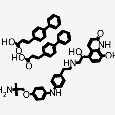 CC(C)(N)COc1ccc(Nc2ccc(CCNC[C@H](O)c3ccc(O)c4[nH]c(=O)ccc34)cc2)cc1.O=C(O)C=Cc1ccc(-c2ccccc2)cc1.O=C(O)C=Cc1ccc(-c2ccccc2)cc1